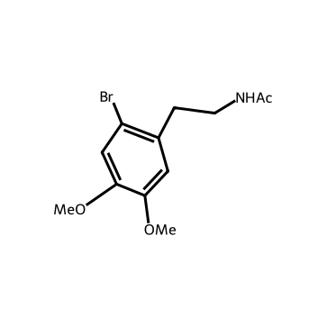 COc1cc(Br)c(CCNC(C)=O)cc1OC